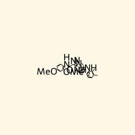 COc1ccc(NC(=O)c2nnn(CC(=O)Nc3cccc(C)c3C)c2N)c(OC)c1